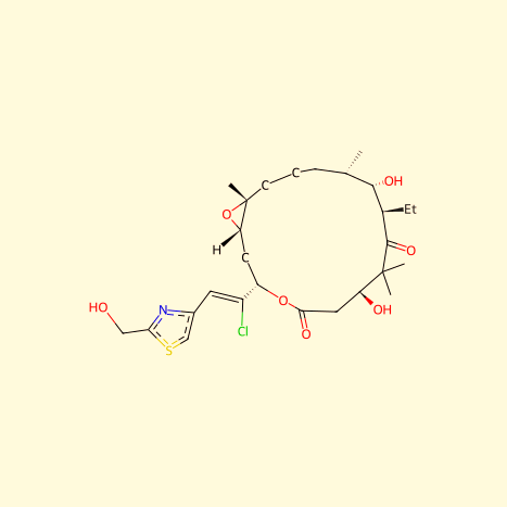 CC[C@H]1C(=O)C(C)(C)[C@@H](O)CC(=O)O[C@H](C(Cl)=Cc2csc(CO)n2)C[C@@H]2O[C@]2(C)CCC[C@H](C)[C@@H]1O